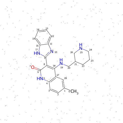 Cc1ccc2[nH]c(=O)c(-c3nc4ccccc4[nH]3)c(NCC3CCCNC3)c2c1